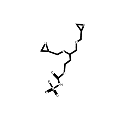 O=C(NS(=O)(=O)F)OCCC(COCC1CO1)OCC1CO1